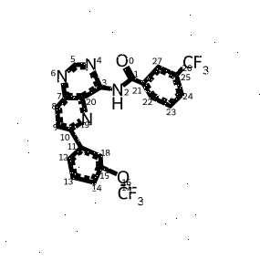 O=C(Nc1ncnc2ccc(-c3cccc(OC(F)(F)F)c3)nc12)c1cccc(C(F)(F)F)c1